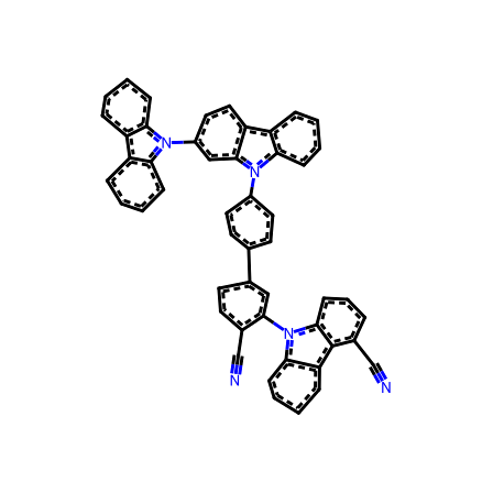 N#Cc1ccc(-c2ccc(-n3c4ccccc4c4ccc(-n5c6ccccc6c6ccccc65)cc43)cc2)cc1-n1c2ccccc2c2c(C#N)cccc21